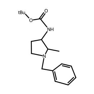 CC1C(NC(=O)OC(C)(C)C)CCN1Cc1ccccc1